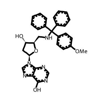 COc1ccc(C(NC[C@H]2O[C@@H](n3cnc4c(O)ncnc43)C[C@@H]2O)(c2ccccc2)c2ccccc2)cc1